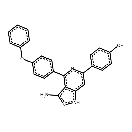 Nc1n[nH]c2cc(-c3ccc(O)cc3)nc(-c3ccc(Oc4ccccc4)cc3)c12